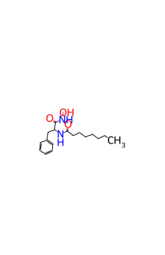 CCCCCCCC(=O)NC(Cc1ccccc1)C(=O)NO